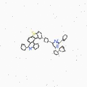 c1ccc(-c2nc(-c3ccc(-c4ccc5sc6ccc7c(-c8ccccc8)nc8ccccc8c7c6c5c4)cc3)cc(-c3ccccc3-c3ccccc3)n2)cc1